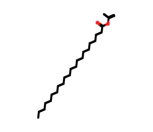 C=C(C)OC(=O)CCCCCCCCCCCCCCCCCCCCC